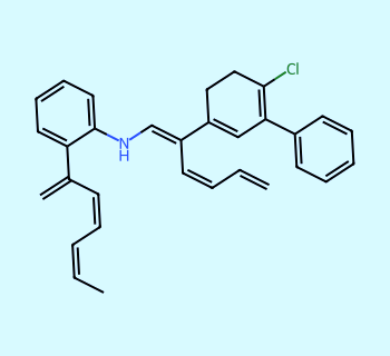 C=C/C=C\C(=C/Nc1ccccc1C(=C)/C=C\C=C/C)C1=CC(c2ccccc2)=C(Cl)CC1